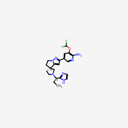 CC[C@H](c1ncc[nH]1)N1CC[C@@]2(CCn3nc(-c4cnc(N)c(OC(F)F)c4)cc32)C1